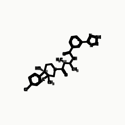 CC(NC(=O)c1cccc(-c2nn[nH]n2)c1)[C@@H](C)C(=O)N1CC[C@](O)(c2ccc(Cl)cc2)C(C)(C)C1